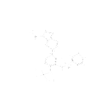 CCOC(=O)C(C)(C)Oc1ccc(-c2cnc3[nH]cc(C(=O)C(C)(C)C)c3n2)cc1NS(=O)(=O)c1ccccc1